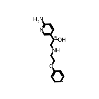 Nc1ccc([C@@H](O)CNCCOC2=CC[CH]C=C2)cn1